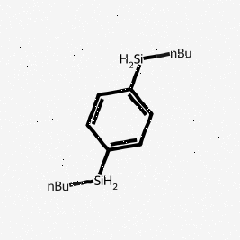 CCCC[SiH2]c1ccc([SiH2]CCCC)cc1